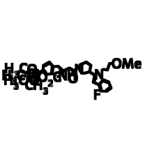 COCCCn1c(C2CCCN(C(=O)CC(Cc3ccc(B4OC(C)(C)C(C)(C)O4)cc3)NC(=O)O)C2)cc2c(F)cccc21